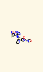 C[C@@H](c1cc2ccccn2c1-c1ccn(CCN2CCOCC2)c(=O)c1)n1nc(-c2cc(O)cc(F)c2)c2c(N)ncnc21